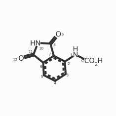 O=C(O)Nc1cccc2c1C(=O)NC2=O